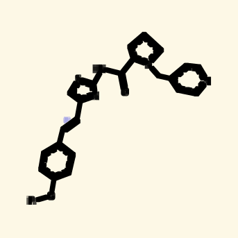 CC(C)Oc1ccc(/C=C/c2csc(NC(=O)c3cccn3Cc3ccncc3)n2)cc1